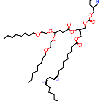 CCCCC/C=C\C/C=C\CCCCCCCC(=O)OCC(COC(=O)CCC(OCCOCCCCCCCC)OCCOCCCCCCCC)COC(=O)OCC1CCCN(CC)C1